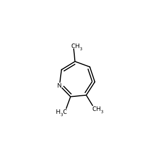 CC1=C=CC(C)=CN=C1C